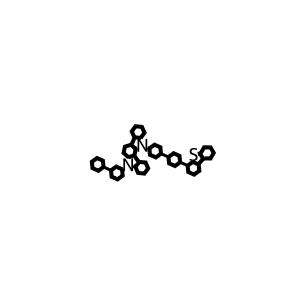 c1ccc(-c2cccc(-n3c4ccccc4c4c3ccc3c5ccccc5n(-c5ccc(-c6ccc(-c7cccc8c7sc7ccccc78)cc6)cc5)c34)c2)cc1